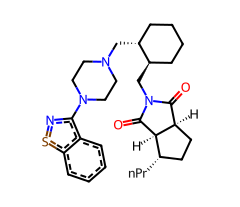 CCC[C@H]1CC[C@@H]2C(=O)N(C[C@@H]3CCCC[C@H]3CN3CCN(c4nsc5ccccc45)CC3)C(=O)[C@H]12